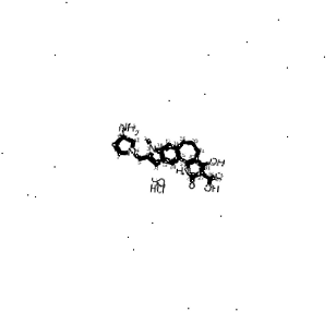 Cl.Cl.Cn1c(CN2CC[C@H](N)C2)cc2cc3c(cc21)CCCc1c-3[nH]c(=O)c(C(=O)O)c1O